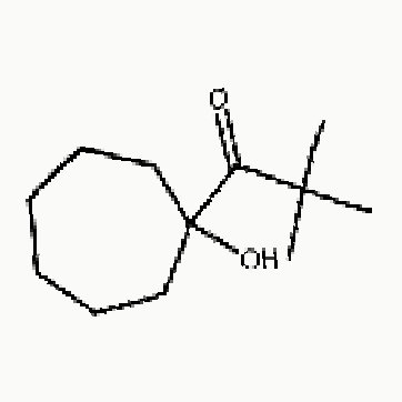 CC(C)(C)C(=O)C1(O)CCCCCC1